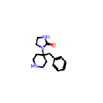 O=C1NCCN1C1(Cc2ccccc2)CCNCC1